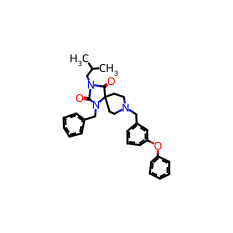 CC(C)CN1C(=O)N(Cc2ccccc2)C2(CCN(Cc3cccc(Oc4ccccc4)c3)CC2)C1=O